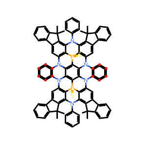 CC1(C)c2ccccc2-c2cc3c4c(c21)N(c1ccccc1)c1c2c(cc5c1P4(=S)c1c(c4c6c(c1N5c1ccccc1)N(c1ccccc1)c1cc5c(c7c1P6(=S)c1c(cc6c(c1N7c1ccccc1)C(C)(C)c1ccccc1-6)N4c1ccccc1)C(C)(C)c1ccccc1-5)N3c1ccccc1)-c1ccccc1C2(C)C